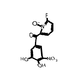 O=C(c1cc(O)c(O)c([N+](=O)[O-])c1)c1cccc(F)[n+]1[O-]